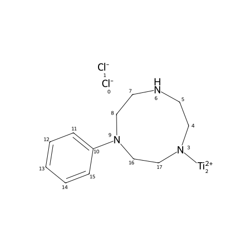 [Cl-].[Cl-].[Ti+2][N]1CCNCCN(c2ccccc2)CC1